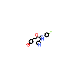 COc1ccc(C=CC(=O)c2cn(-c3ccc(F)cc3)nc2-c2cccnc2)cc1